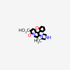 CC1CNCCN1c1c(F)cn2c(=O)c(C(=O)O)cc3c2c1-c1ccccc1O3